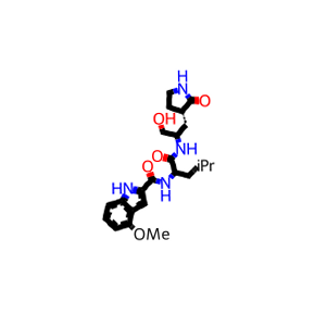 COc1cccc2[nH]c(C(=O)NC(CC(C)C)C(=O)NC(CO)C[C@@H]3CCNC3=O)cc12